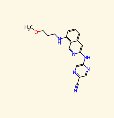 COCCCNc1cccc2cc(Nc3cnc(C#N)cn3)ncc12